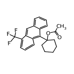 CC(=O)OC1(c2c3ccccc3cc3c(C(F)(F)F)cccc23)CCCCC1